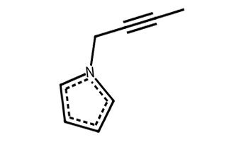 CC#CCn1cccc1